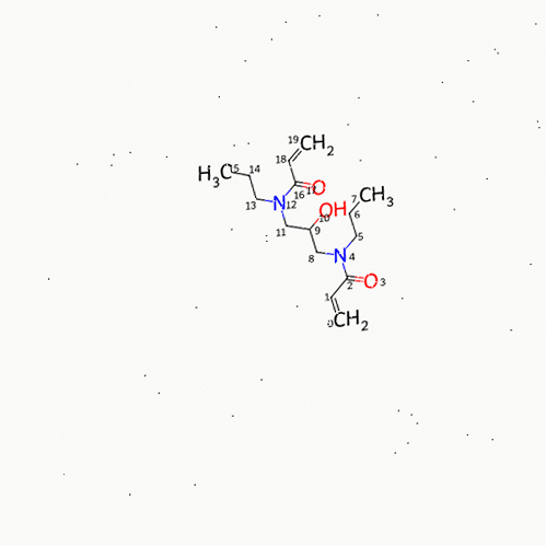 C=CC(=O)N(CCC)CC(O)CN(CCC)C(=O)C=C